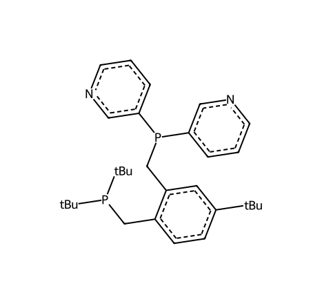 CC(C)(C)c1ccc(CP(C(C)(C)C)C(C)(C)C)c(CP(c2cccnc2)c2cccnc2)c1